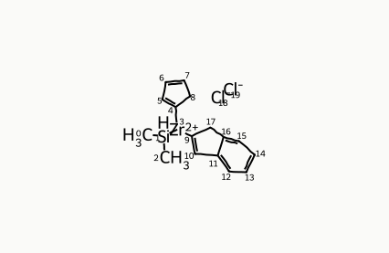 C[SiH](C)[Zr+2]([C]1=CC=CC1)[C]1=Cc2ccccc2C1.[Cl-].[Cl-]